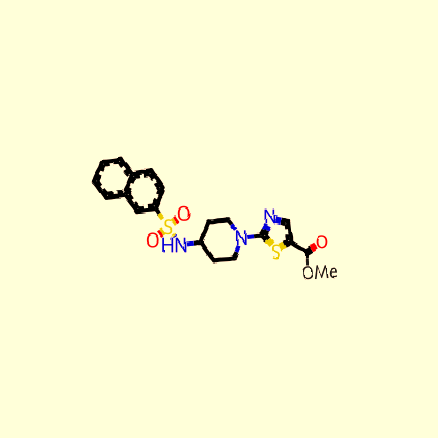 COC(=O)c1cnc(N2CCC(NS(=O)(=O)c3ccc4ccccc4c3)CC2)s1